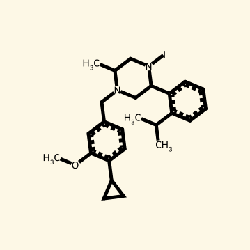 COc1cc(CN2CC(c3ccccc3C(C)C)N(I)CC2C)ccc1C1CC1